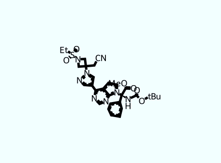 CCS(=O)(=O)N1CC(CC#N)(n2cc(-c3ncnc4c3ccn4[C@](NC(=O)OC(C)(C)C)(C(=O)OC)c3ccccc3)cn2)C1